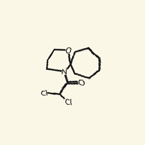 O=C(C(Cl)Cl)N1CCCOC12CCCCCC2